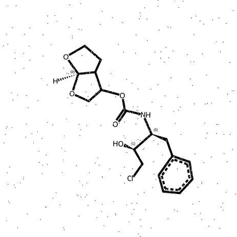 O=C(N[C@@H](Cc1ccccc1)[C@H](O)CCl)OC1CO[C@H]2OCCC12